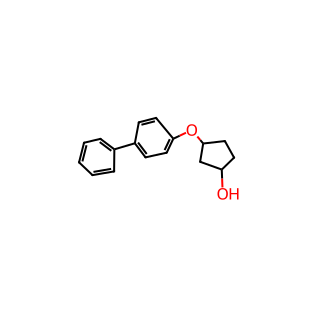 OC1CCC(Oc2ccc(-c3ccccc3)cc2)C1